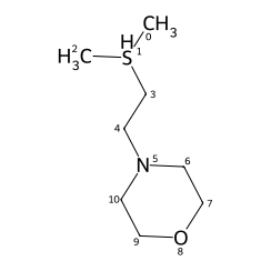 C[SH](C)CCN1CCOCC1